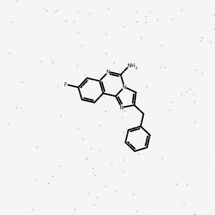 Nc1nc2cc(F)ccc2c2nc(Cc3ccccc3)cn12